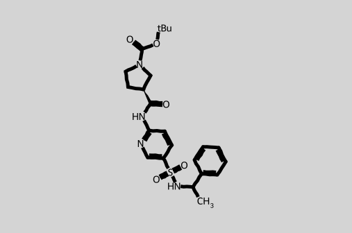 CC(NS(=O)(=O)c1ccc(NC(=O)[C@H]2CCN(C(=O)OC(C)(C)C)C2)nc1)c1ccccc1